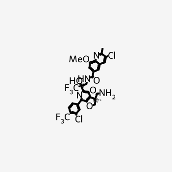 COc1cc(C(=O)NC[C@](O)(c2cc3c(c(-c4ccc(C(F)(F)F)c(Cl)c4)n2)OC[C@]3(C)C(N)=O)C(F)(F)F)cc2cc(Cl)c(C)nc12